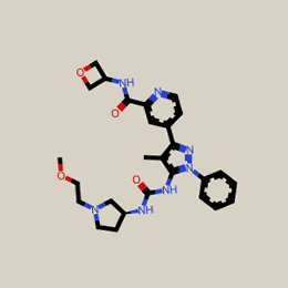 COCCN1CC[C@H](NC(=O)Nc2c(C)c(-c3ccnc(C(=O)NC4COC4)c3)nn2-c2ccccc2)C1